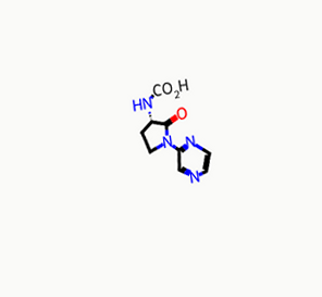 O=C(O)N[C@H]1CCN(c2cnccn2)C1=O